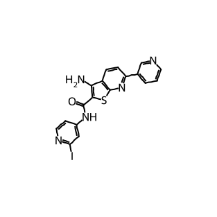 Nc1c(C(=O)Nc2ccnc(I)c2)sc2nc(-c3cccnc3)ccc12